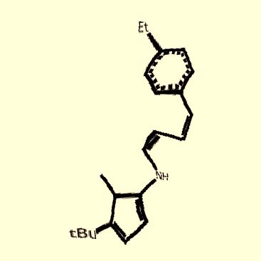 CCc1ccc(/C=C\C=C/NC2=CC=C(C(C)(C)C)C2C)cc1